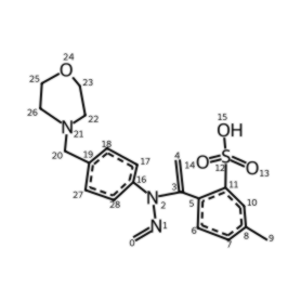 C=NN(C(=C)c1ccc(C)cc1S(=O)(=O)O)c1ccc(CN2CCOCC2)cc1